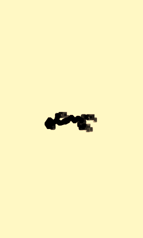 COC(CC#CCCCC(OC)(OC)OC)c1ccco1